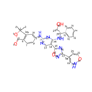 CC1(C)OC(=O)c2ccc(Nc3ncc(-c4nc(C5=CNOC=C5)no4)c(NC(CO)c4ccccc4)n3)cc21